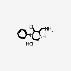 Cl.NCC1NCCN(c2ccccc2)C1Cl